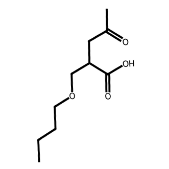 CCCCOCC(CC(C)=O)C(=O)O